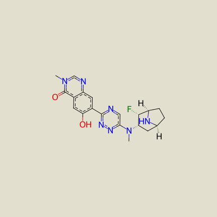 CN(c1cnc(-c2cc3ncn(C)c(=O)c3cc2O)nn1)[C@H]1C[C@@H]2CC[C@@H](N2)[C@H]1F